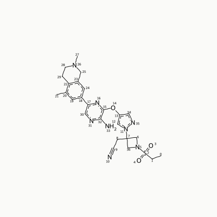 CCS(=O)(=O)N1CC(CC#N)(n2cc(Oc3nc(-c4cc(C)c5c(c4)CN(C)CC5)cnc3N)cn2)C1